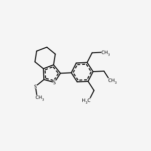 CCc1cc(-c2sc(SC)c3c2CCCC3)cc(CC)c1CC